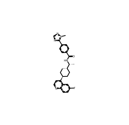 C[C@@H](NC(=O)c1ccc(-c2ncnn2C)cc1)[C@H]1CC[C@H](c2ccnc3ccc(F)cc32)CC1